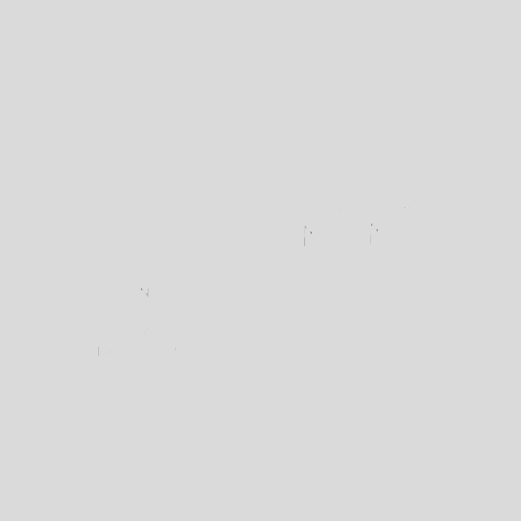 O=C(NC(=S)NCC1CCC(N(Cc2ccccc2)C(=O)O)CC1)c1ccccc1